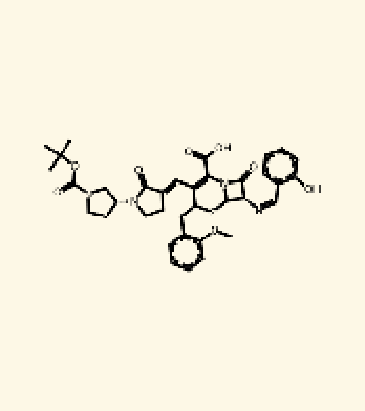 COc1ccccc1CC1SC2[C@H](/N=C\c3ccccc3O)C(=O)N2C(C(=O)O)=C1/C=C1\CCN([C@@H]2CCN(C(=O)OC(C)(C)C)C2)C1=O